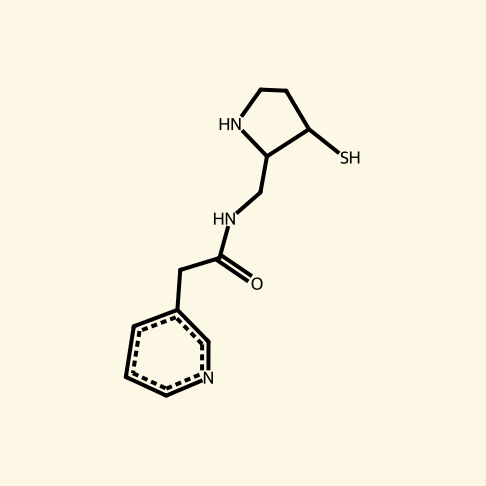 O=C(Cc1cccnc1)NCC1NCCC1S